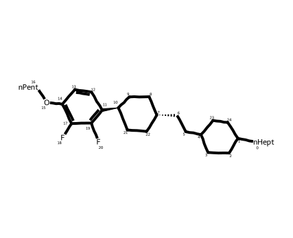 CCCCCCCC1CCC(CC[C@H]2CC[C@H](c3ccc(OCCCCC)c(F)c3F)CC2)CC1